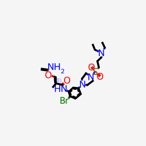 C=C(N)O/C=C(\C)C(=O)Nc1cc(N2CCN(S(=O)(=O)CCCN(CC)CC)CC2)ccc1Br